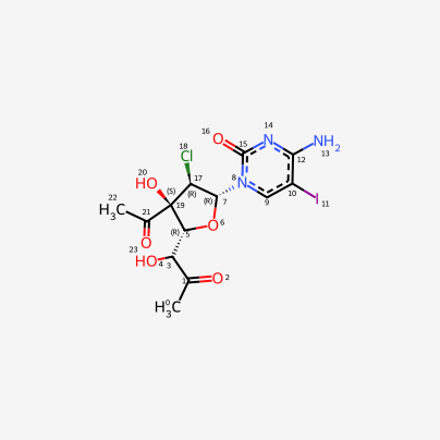 CC(=O)C(O)[C@H]1O[C@@H](n2cc(I)c(N)nc2=O)[C@H](Cl)[C@@]1(O)C(C)=O